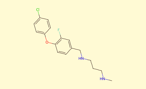 CNCCCNCc1ccc(Oc2ccc(Cl)cc2)c(F)c1